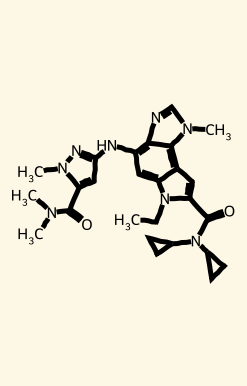 CCn1c(C(=O)N(C2CC2)C2CC2)cc2c3c(ncn3C)c(Nc3cc(C(=O)N(C)C)n(C)n3)cc21